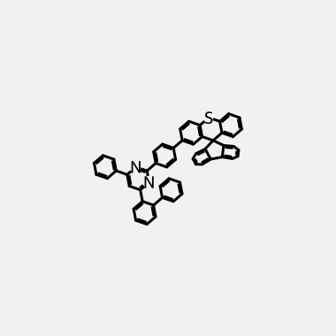 c1ccc(-c2cc(-c3ccccc3-c3ccccc3)nc(-c3ccc(-c4ccc5c(c4)C4(c6ccccc6S5)c5ccccc5-c5ccccc54)cc3)n2)cc1